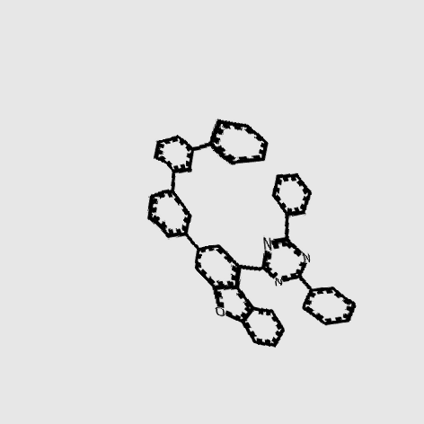 c1ccc(-c2cccc(-c3cccc(-c4cc(-c5nc(-c6ccccc6)nc(-c6ccccc6)n5)c5c(c4)oc4ccccc45)c3)c2)cc1